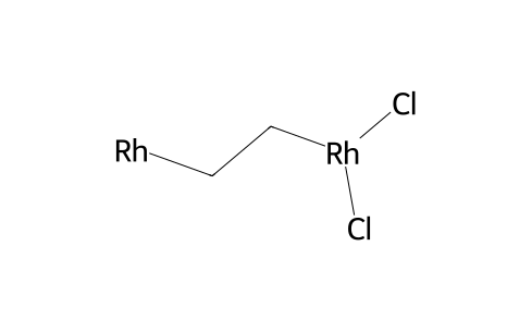 [Cl][Rh]([Cl])[CH2][CH2][Rh]